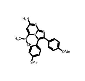 COc1ccc(-c2nc3nc(N)cc(N(C)C)n3c2-c2ccc(SC)cc2)cc1